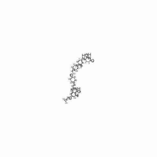 O=C1CCC(Nc2ccc(N3CCN(CCO[C@H]4CC[C@H](SCc5nc6cc(OCC7CC7)cc(F)c6c(=O)[nH]5)CC4)CC3)c(F)c2)C(=O)N1